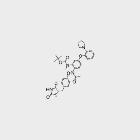 CC(=O)N(Oc1ccc(CC2SC(=O)NC2=O)cc1)c1ccc(Oc2ccccc2N2CCCC2)cc1N(C)C(=O)OC(C)(C)C